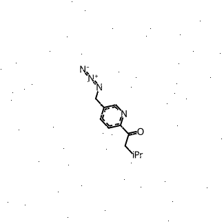 CC(C)CC(=O)c1ccc(CN=[N+]=[N-])cn1